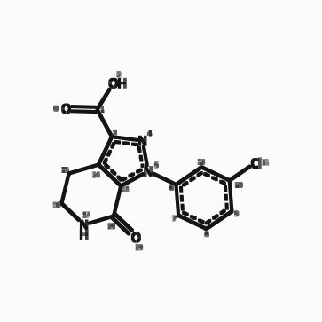 O=C(O)c1nn(-c2cccc(Cl)c2)c2c1CCNC2=O